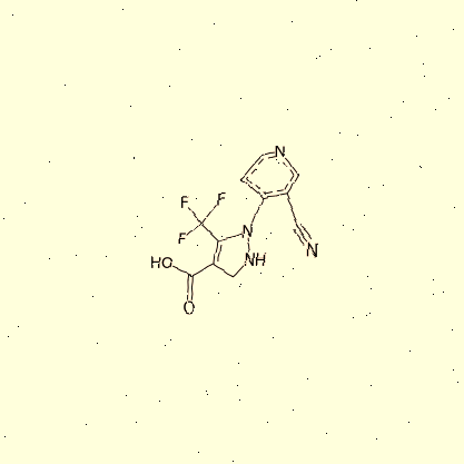 N#Cc1cnccc1N1NCC(C(=O)O)=C1C(F)(F)F